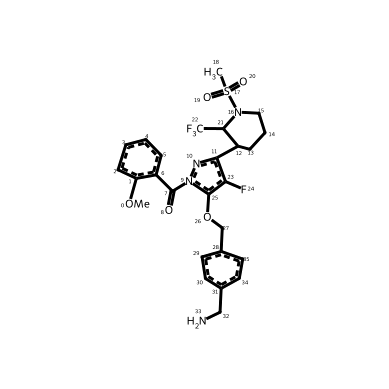 COc1ccccc1C(=O)n1nc(C2CCCN(S(C)(=O)=O)C2C(F)(F)F)c(F)c1OCc1ccc(CN)cc1